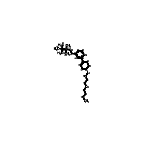 COCCOCCOC[C@@H]1CC=C(c2nccc(CO[Si](C)(C)C(C)(C)C)n2)CC1